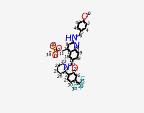 COc1ccc(CNc2cc(COS(C)(=O)=O)c3cc(C(=O)N4CCCCC4c4ccc(C(F)(F)F)cc4)ccc3n2)cc1